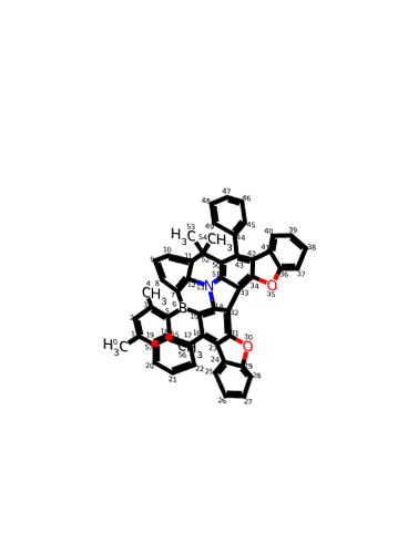 Cc1cc(C)c(B2c3cccc4c3-n3c5c2c(-c2ccccc2)c2c6ccccc6oc2c5c2c5oc6ccccc6c5c(-c5ccccc5)c(c23)C4(C)C)c(C)c1